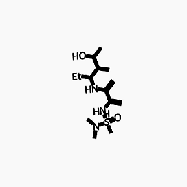 C=C(NC(CC)C(C)C(C)O)C(=C)N[SH](C)(=O)N(C)C